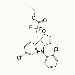 CCOC(=O)C(F)(F)C[C@]1(c2ccc(Cl)cc2)C(=O)C=C[C@H]1Nc1ccccc1Cl